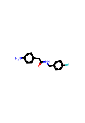 Nc1ccc(CC(=O)NCc2ccc(F)cc2)cc1